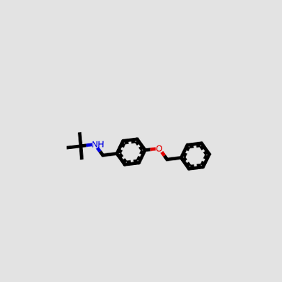 CC(C)(C)NCc1ccc(OCc2ccccc2)cc1